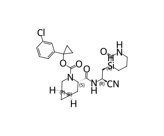 N#C[C@H](C[Si@@H]1CCCNC1=O)NC(=O)[C@@H]1C[C@H]2C[C@H]2CN1C(=O)OC1(c2cccc(Cl)c2)CC1